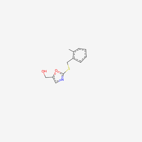 Cc1ccccc1CSc1ncc(CO)o1